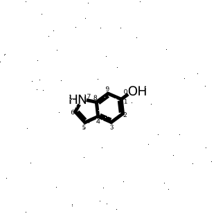 Oc1ccc2[c]c[nH]c2c1